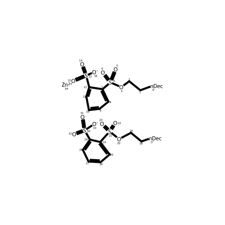 CCCCCCCCCCCCOS(=O)(=O)c1ccccc1S(=O)(=O)[O-].CCCCCCCCCCCCOS(=O)(=O)c1ccccc1S(=O)(=O)[O-].[Zn+2]